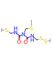 O=C(NCSI)N(CSI)C(=O)NCSSI